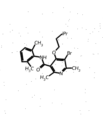 Cc1cccc(C)c1NC(=O)c1c(C)nc(C)c(Br)c1OCCC(C)C